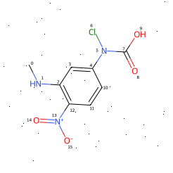 CNc1cc(N(Cl)C(=O)O)ccc1[N+](=O)[O-]